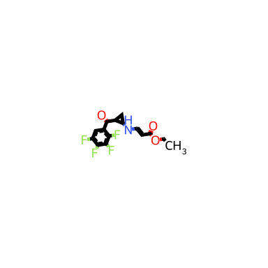 CCOC(=O)C=CNC1CC1C(=O)c1cc(F)c(F)c(F)c1F